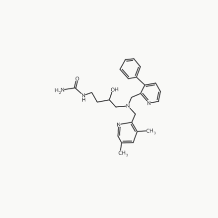 Cc1cnc(CN(Cc2ncccc2-c2ccccc2)CC(O)CCNC(N)=O)c(C)c1